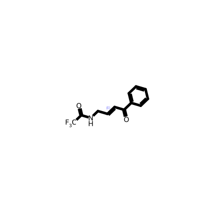 O=C(/C=C/CNC(=O)C(F)(F)F)c1ccccc1